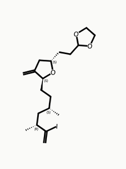 C=C(I)[C@H](C)C[C@@H](C)CC[C@@H]1O[C@@H](CCC2OCCO2)CC1=C